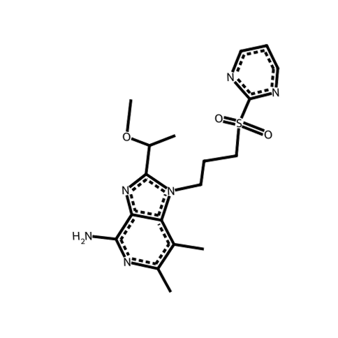 COC(C)c1nc2c(N)nc(C)c(C)c2n1CCCS(=O)(=O)c1ncccn1